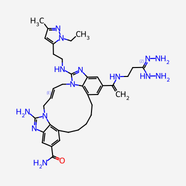 C=C(NCC/C(=N/N)NN)c1cc2c3c(c1)nc(NCCc1cc(C)nn1CC)n3C/C=C/Cn1c(N)nc3cc(C(N)=O)cc(c31)CCCCC2